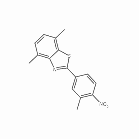 Cc1cc(-c2nc3c(C)ccc(C)c3s2)ccc1[N+](=O)[O-]